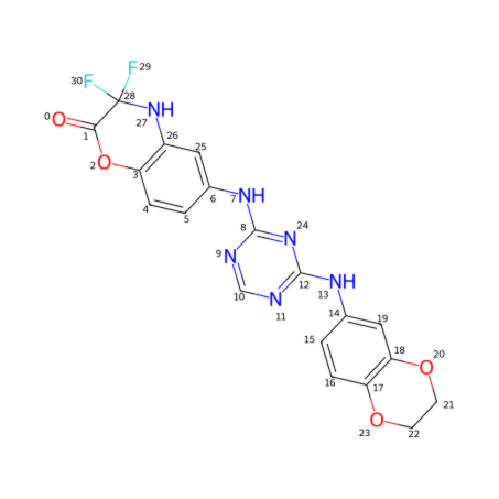 O=C1Oc2ccc(Nc3ncnc(Nc4ccc5c(c4)OCCO5)n3)cc2NC1(F)F